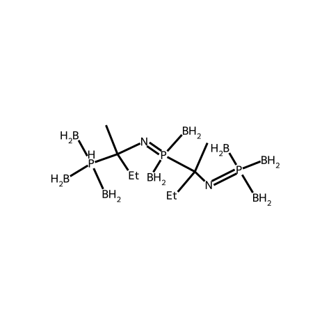 BP(B)(B)=NC(C)(CC)P(B)(B)=NC(C)(CC)[PH](B)(B)B